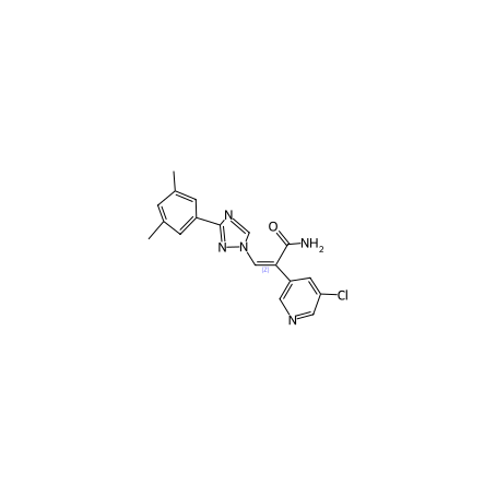 Cc1cc(C)cc(-c2ncn(/C=C(\C(N)=O)c3cncc(Cl)c3)n2)c1